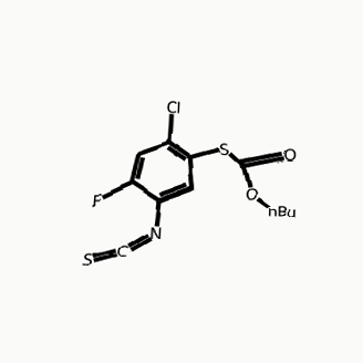 CCCCOC(=O)Sc1cc(N=C=S)c(F)cc1Cl